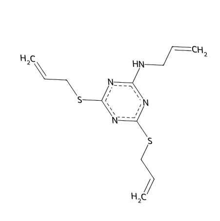 C=CCNc1nc(SCC=C)nc(SCC=C)n1